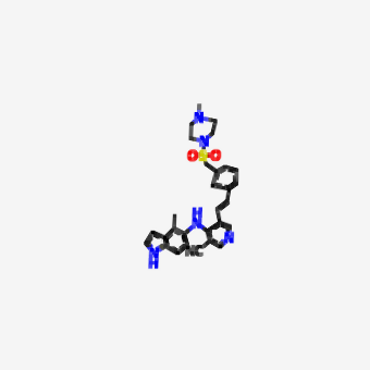 Cc1c(Nc2c(C#N)cncc2/C=C/c2cccc(CS(=O)(=O)N3CCN(C)CC3)c2)ccc2[nH]ccc12